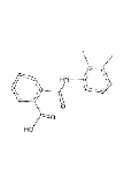 Cc1cccc(NC(=O)c2ccccc2C(=O)O)c1C